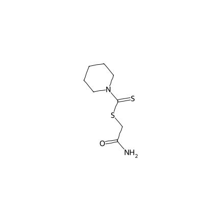 NC(=O)CSC(=S)N1CCCCC1